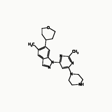 Cc1nc(N2CCNCC2)cc(-n2ncc3cc(C)c(C4CCOCC4)cc32)n1